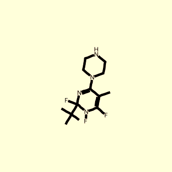 CC1=C(F)N(F)C(F)(C(C)(C)C)N=C1N1CCNCC1